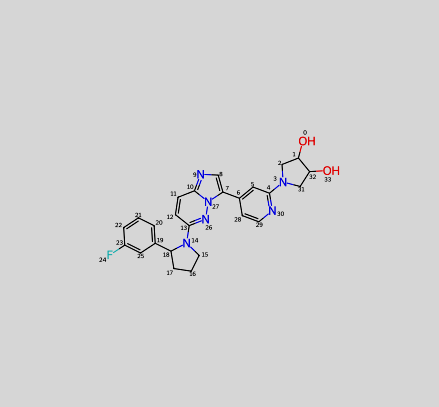 OC1CN(c2cc(-c3cnc4ccc(N5CCCC5c5cccc(F)c5)nn34)ccn2)CC1O